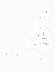 CC(C)CCC[C@@H](C)[C@H]1[C@@H](O)C[C@H]2[C@@H]3CC=C4C[C@H](C)CC[C@]4(C)[C@H]3CC[C@]12C